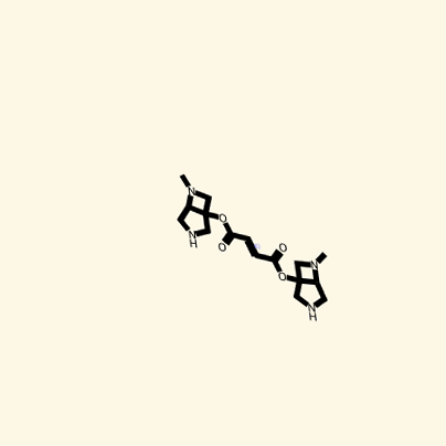 CN1CC2(OC(=O)/C=C/C(=O)OC34CNCC3N(C)C4)CNCC12